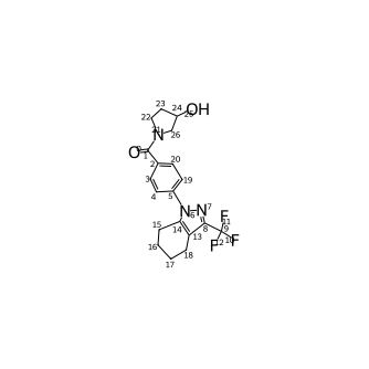 O=C(c1ccc(-n2nc(C(F)(F)F)c3c2CCCC3)cc1)N1CCC(O)C1